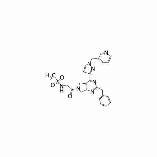 CS(=O)(=O)NCC(=O)N1Cc2nc(Cc3ccccc3)nc(-c3ccn(Cc4cccnc4)n3)c2C1